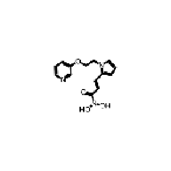 O=C(C=Cc1cccn1CCOc1cccnc1)N(O)O